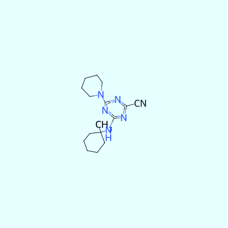 CC1(Nc2nc(C#N)nc(N3CCCCC3)n2)CCCCC1